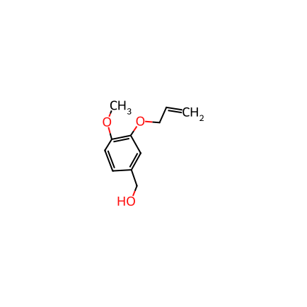 C=CCOc1cc(CO)ccc1OC